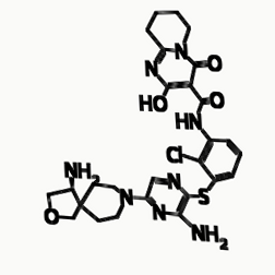 Nc1nc(N2CCC3(CC2)COC[C@H]3N)cnc1Sc1cccc(NC(=O)c2c(O)nc3n(c2=O)CCCC3)c1Cl